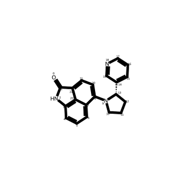 O=C1Nc2cccc3c(N4CCC[C@H]4c4cccnc4)ccc1c23